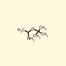 CC(N)OC(C)(C)C